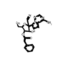 N#CC1(c2ccc3c(N)ncnn23)OC(CO)C(OC(=O)Cc2ccccc2)C1O